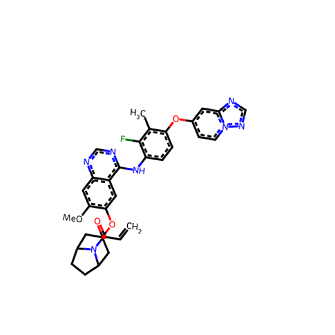 C=CC(=O)N1C2CCC1CC(Oc1cc3c(Nc4ccc(Oc5ccn6ncnc6c5)c(C)c4F)ncnc3cc1OC)C2